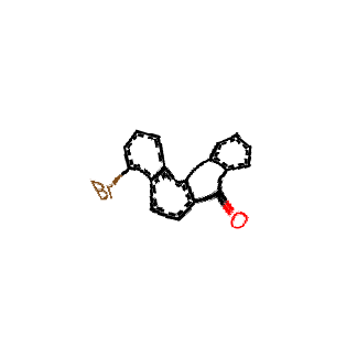 O=C1c2ccccc2-c2c1ccc1c(Br)cccc21